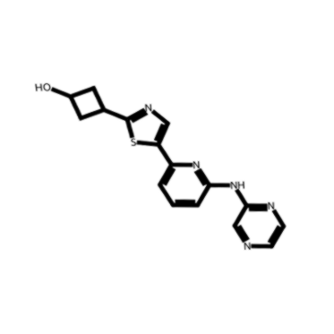 OC1CC(c2ncc(-c3cccc(Nc4cnccn4)n3)s2)C1